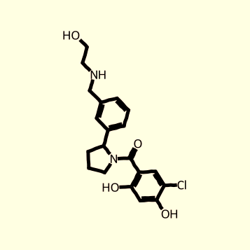 O=C(c1cc(Cl)c(O)cc1O)N1CCCC1c1cccc(CNCCO)c1